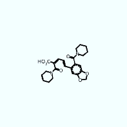 O=C(O)/C(=C/C=Cc1cc2c(cc1C(=O)N1CCCCC1)OCO2)C(=O)N1CCCCC1